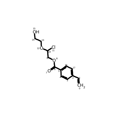 C=Cc1ccc(C(=O)OCC(Cl)OCCO)cc1